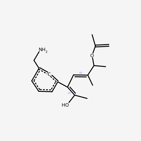 C=C(C)OC(C)/C(C)=C/C(=C(\C)O)c1cccc(CN)c1